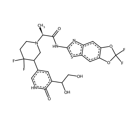 C[C@@H](C(=O)Nc1nc2cc3c(cc2s1)OC(F)(F)O3)N1CCC(F)(F)C(c2c[nH]c(=O)c(C(O)CO)c2)C1